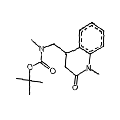 CN(CC1CC(=O)N(C)c2ccccc21)C(=O)OC(C)(C)C